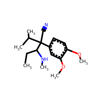 CCC(NC)C(C#N)(c1ccc(OC)c(OC)c1)C(C)C